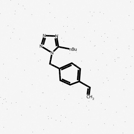 C=Cc1ccc(Cn2nnnc2CCCC)cc1